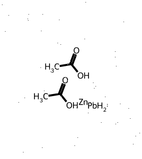 CC(=O)O.CC(=O)O.[PbH2].[Zn]